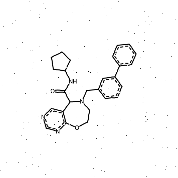 O=C(NC1CCCC1)C1c2cncnc2OCCN1Cc1cccc(-c2ccccc2)c1